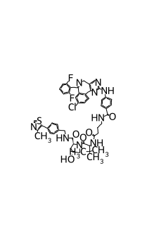 Cc1ncsc1-c1ccc(CNC(=O)[C@@H]2C[C@@H](O)CN2C(=O)[C@@H](NC(=O)CCCNC(=O)c2ccc(Nc3ncc4c(n3)-c3ccc(Cl)cc3C(c3c(F)cccc3F)=NC4)cc2)C(C)(C)C)cc1